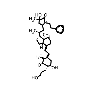 C=C1/C(=C\C=C2/CCC[C@]3(C)[C@@H]([C@H](C)CC4CC(C)(O)C(=O)N4CCc4ccccc4)CC[C@@H]23)C[C@@H](O)[C@H](CCCO)[C@@H]1O